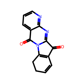 O=C1C2=C(CCC=C2)n2c1nc1ncccc1c2=O